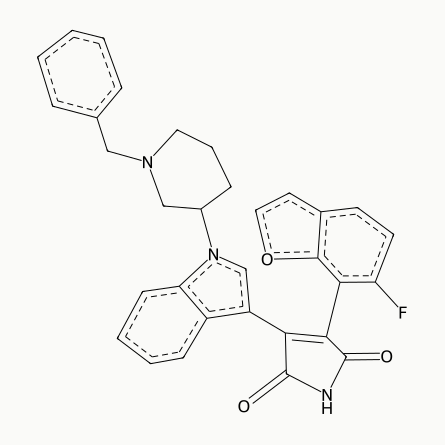 O=C1NC(=O)C(c2c(F)ccc3ccoc23)=C1c1cn(C2CCCN(Cc3ccccc3)C2)c2ccccc12